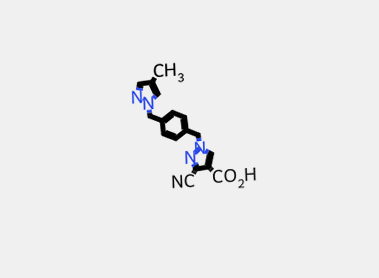 Cc1cnn(Cc2ccc(Cn3cc(C(=O)O)c(C#N)n3)cc2)c1